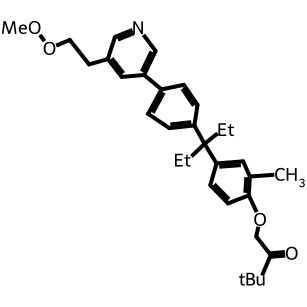 CCC(CC)(c1ccc(-c2cncc(CCOOC)c2)cc1)c1ccc(OCC(=O)C(C)(C)C)c(C)c1